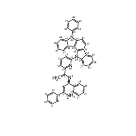 C=C(/N=C(\C=C(/N)c1ccccc1)c1ccccc1)c1cccc(-n2c3ccccc3c3ccc4c(c5ccccc5n4-c4ccccc4)c32)n1